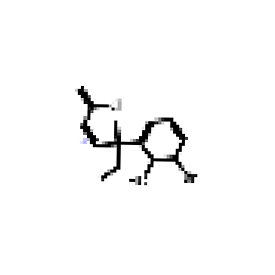 C=C(Cl)/C=C\C(C)(CC)C1=CC=CC(Br)C1O